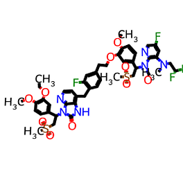 CCOc1cc(C(CS(C)(=O)=O)n2c(=O)[nH]c3c(Cc4ccc(CCOc5cc(C(CS(C)(=O)=O)N(C=O)c6ncc(F)cc6N(C)CC(F)F)ccc5OC)cc4F)ccnc32)ccc1OC